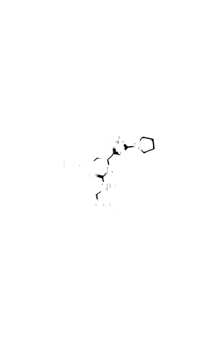 O=C(O)CNC(=O)N[C@@H](CC(=O)O)c1nc(N2CCCC2)no1